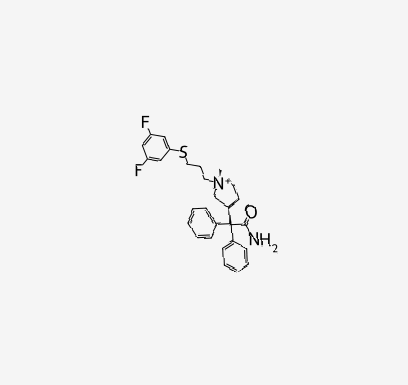 C[N@@+]1(CCCSc2cc(F)cc(F)c2)CC[C@@H](C(C(N)=O)(c2ccccc2)c2ccccc2)C1